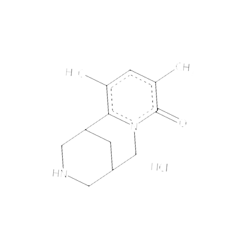 Cc1cc(C)c(=O)n2c1C1CNCC(C1)C2.Cl